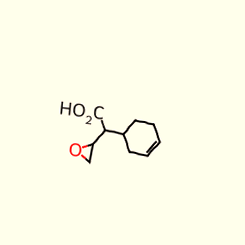 O=C(O)C(C1CC=CCC1)C1CO1